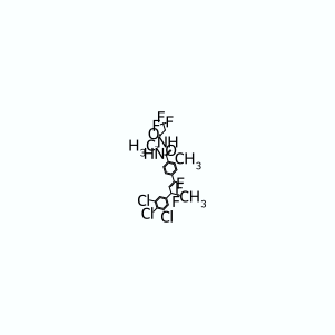 Cc1cc(/C(F)=C/C(c2cc(Cl)c(Cl)c(Cl)c2)C(C)(F)F)ccc1C(=O)N[C@H](C)NC(=O)CC(F)(F)F